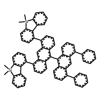 C[Si]1(C)c2ccccc2-c2c(-c3cccc4c(-c5c6cccc(-c7ccccc7)c6cc6c(-c7ccccc7)cccc56)c5cccc(-c6cccc7c6-c6ccccc6[Si]7(C)C)c5cc34)cccc21